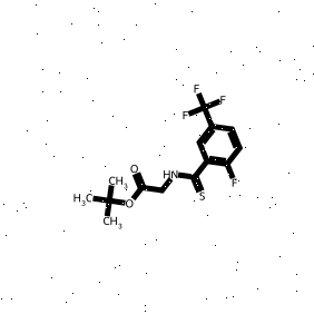 CC(C)(C)OC(=O)CNC(=S)c1cc(C(F)(F)F)ccc1F